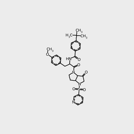 COc1ccc(CC(NC(=O)c2ccc(C(C)(C)C)cc2)C(=O)N2CCC3C2C(=O)CN3S(=O)(=O)c2cccnc2)cc1